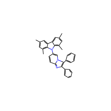 Cc1cc(C)c2c(c1)c1cc(C)cc(C)c1n2-c1ccc2nc(-c3ccccc3)c(-c3ccccc3)n2c1